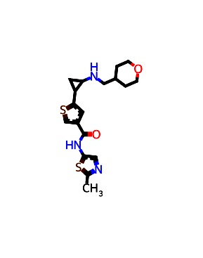 Cc1ncc(NC(=O)c2csc(C3CC3NCC3CCOCC3)c2)s1